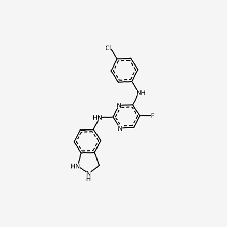 Fc1cnc(Nc2ccc3c(c2)CNN3)nc1Nc1ccc(Cl)cc1